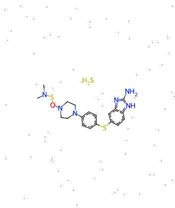 CN(C)SON1CCN(c2ccc(Sc3ccc4[nH]c(N)nc4c3)cc2)CC1.S